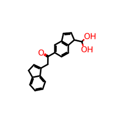 O=C(CC1=CCc2ccccc21)c1ccc2c(c1)C=CC2C(O)O